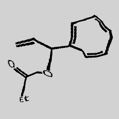 C=CC(OC(=O)CC)c1ccccc1